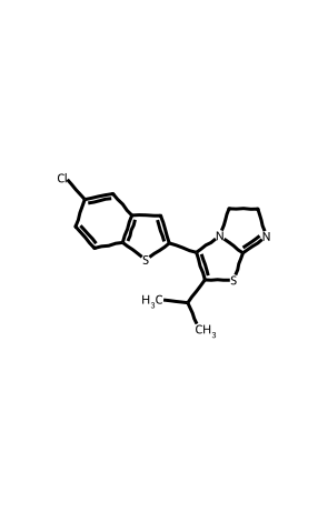 CC(C)C1=C(c2cc3cc(Cl)ccc3s2)N2CCN=C2S1